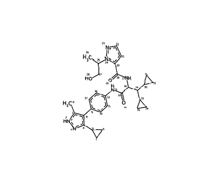 Cc1[nH]nc(C2CC2)c1-c1ccc(NC(=O)C(NC(=O)c2ccnn2C(C)CO)C(C2CC2)C2CC2)cc1